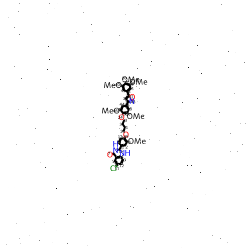 COc1cc(C2NC(=O)c3cc(Cl)ccc3N2)ccc1OCCCCOc1c(OC)cc(-c2cc(-c3cc(OC)c(OC)c(OC)c3)on2)cc1OC